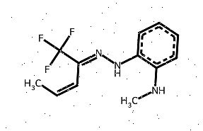 C/C=C\C(=N/Nc1ccccc1NC)C(F)(F)F